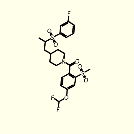 CC(CC1CCN(C(=O)c2ccc(OC(F)F)cc2S(C)(=O)=O)CC1)S(=O)(=O)c1cccc(F)c1